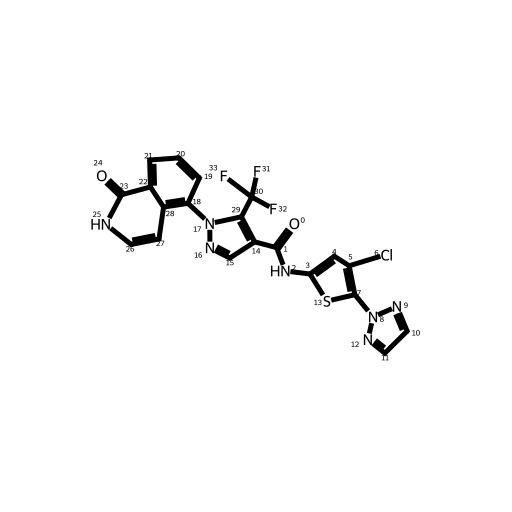 O=C(Nc1cc(Cl)c(-n2nccn2)s1)c1cnn(-c2cccc3c(=O)[nH]ccc23)c1C(F)(F)F